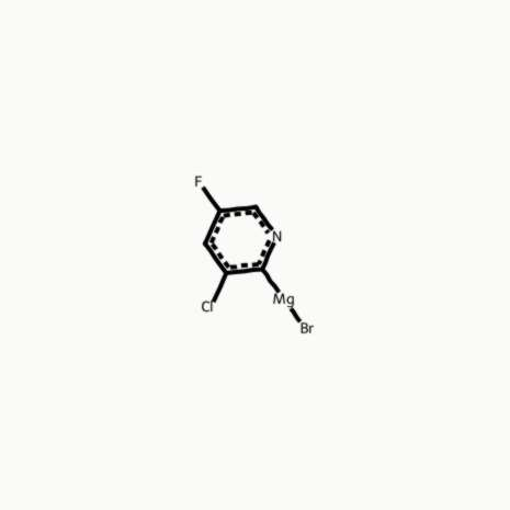 Fc1cn[c]([Mg][Br])c(Cl)c1